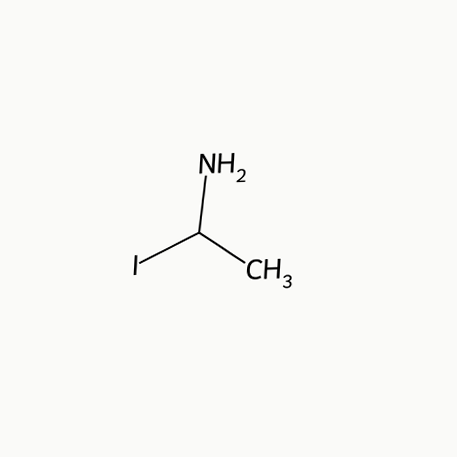 CC(N)I